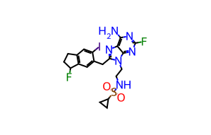 Nc1nc(F)nc2c1nc(Cc1cc3c(cc1I)CCC3F)n2CCNS(=O)(=O)C1CC1